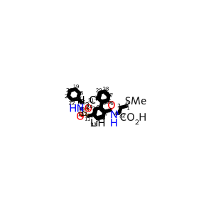 CSCCC(NC(=O)c1ccc(CS(=O)(=O)NCC2CCCCC2)cc1-c1ccccc1C)C(=O)O.[LiH]